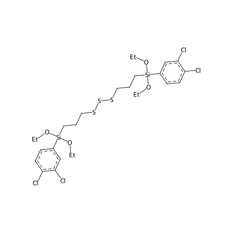 CCO[Si](CCCSSSCCC[Si](OCC)(OCC)c1ccc(Cl)c(Cl)c1)(OCC)c1ccc(Cl)c(Cl)c1